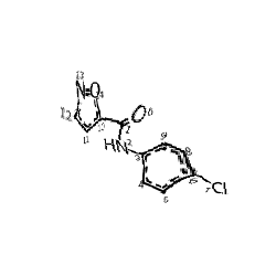 O=C(Nc1ccc(Cl)cc1)c1ccno1